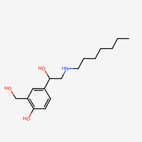 CCCCCCCNCC(O)c1ccc(O)c(CO)c1